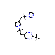 CC(C)(C)C1NCC(CC(C)(C)n2ccc(CC(C)(C)n3ccnc3)c2)CN1